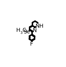 C[Se]c1cc2c(nc1-c1ccc(F)cc1)NCCC2